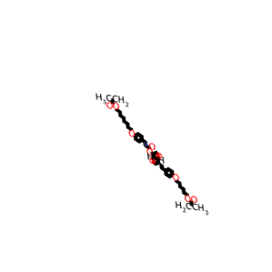 C=C(C)C(=O)OCCCCCCCCOc1ccc(/C=C/C(=O)O[C@@H]2CO[C@H]3[C@@H]2OC[C@@H]3C=Cc2ccc(OCCCCCCOC(=O)C(=C)C)cc2)cc1